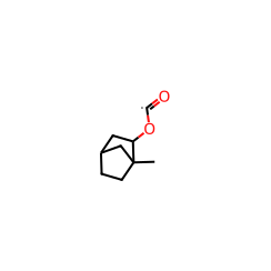 CC12CCC(CC1O[C]=O)C2